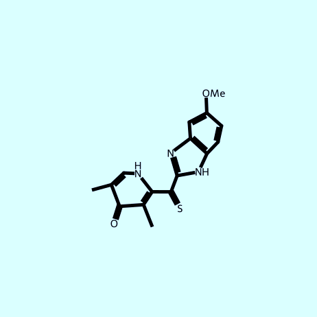 COc1ccc2[nH]c(C(=S)c3[nH]cc(C)c(=O)c3C)nc2c1